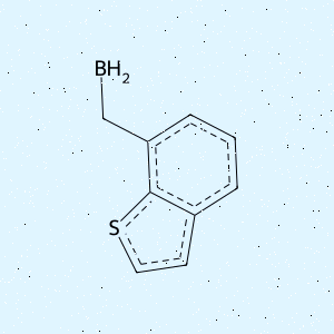 BCc1cccc2ccsc12